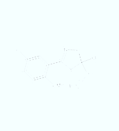 COc1ccc(Br)cc1C1=NOC(C)(OC(=O)O)C1